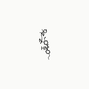 C=Cc1ccc(SNc2ccc(CCC)cc2)cc1C(=C)N(C)CCN(C)/C(C)=C(/C)OC